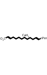 CCCCCC=CCCCCCCCCC=CC(=O)O.[CaH2]